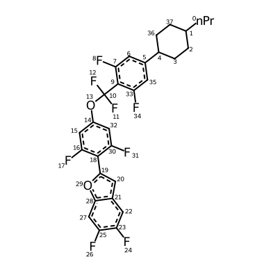 CCCC1CCC(c2cc(F)c(C(F)(F)Oc3cc(F)c(-c4cc5cc(F)c(F)cc5o4)c(F)c3)c(F)c2)CC1